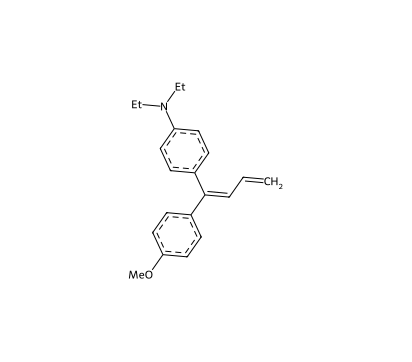 C=CC=C(c1ccc(OC)cc1)c1ccc(N(CC)CC)cc1